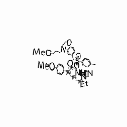 CC[C@H](C[C@H]1C[C@H](c2ccc(OC)cc2)[C@@H](OC(c2ccc3c(c2)N(CCCOC)CCO3)S(=O)(=O)c2ccc(C)cc2)CN1)n1cncn1